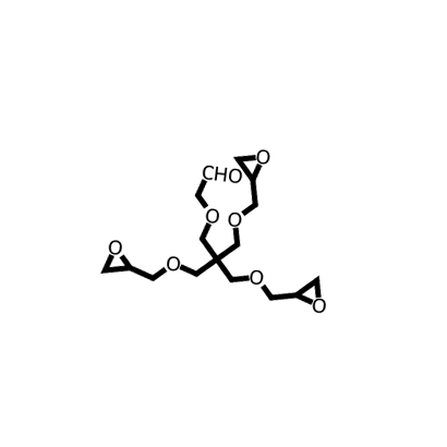 O=CCOCC(COCC1CO1)(COCC1CO1)COCC1CO1